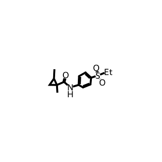 CCS(=O)(=O)c1ccc(NC(=O)C2(C)CC2C)cc1